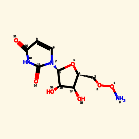 NOOC[C@H]1O[C@@H](n2ccc(=O)[nH]c2=O)[C@H](O)[C@@H]1O